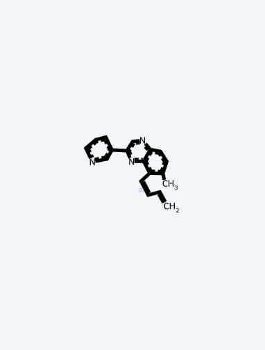 C=C/C=C\c1c(C)ccc2ncc(-c3cccnc3)nc12